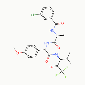 COc1ccc([C@H](NC(=O)[C@H](C)NC(=O)c2cccc(Cl)c2)C(=O)N[C@H](C(=O)C(F)(F)F)C(C)C)cc1